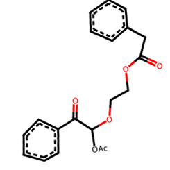 CC(=O)OC(OCCOC(=O)Cc1ccccc1)C(=O)c1ccccc1